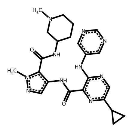 CN1CCCC(NC(=O)c2c(NC(=O)c3nc(C4CC4)cnc3Nc3cncnc3)cnn2C)C1